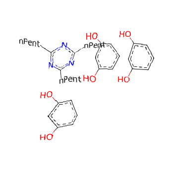 CCCCCc1nc(CCCCC)nc(CCCCC)n1.Oc1cccc(O)c1.Oc1cccc(O)c1.Oc1cccc(O)c1